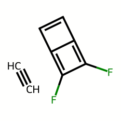 C#C.Fc1c2ccc-2c1F